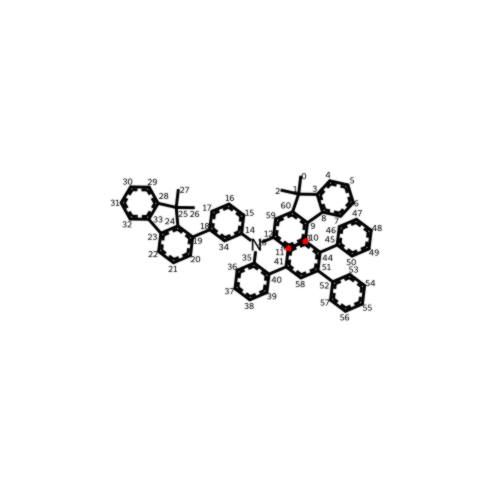 CC1(C)c2ccccc2-c2ccc(N(c3cccc(-c4cccc5c4C(C)(C)c4ccccc4-5)c3)c3ccccc3-c3ccc(-c4ccccc4)c(-c4ccccc4)c3)cc21